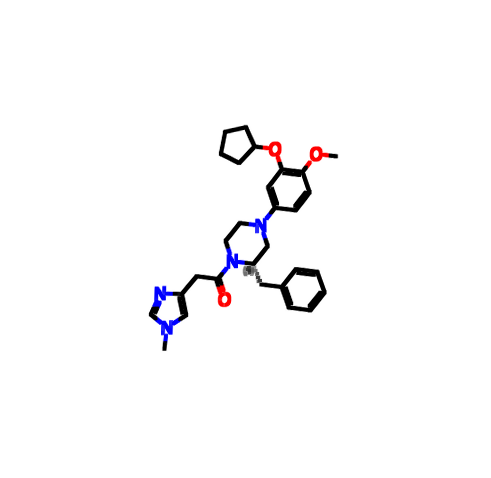 COc1ccc(N2CCN(C(=O)Cc3cn(C)cn3)[C@@H](Cc3ccccc3)C2)cc1OC1CCCC1